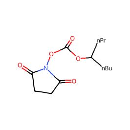 CCCCC(CCC)OC(=O)ON1C(=O)CCC1=O